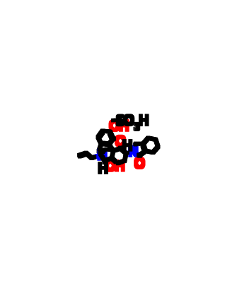 C=CCN1CC[C@]23c4c5ccc(O)c4O[C@H]2[C@H](N2CC4=C(CCCC4)C2=O)CC[C@@]3(O)[C@H]1C5.CS(=O)(=O)O